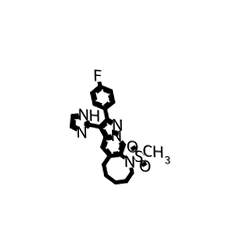 CS(=O)(=O)N1CCCCCc2cc3c(-c4ncc[nH]4)c(-c4ccc(F)cc4)nn3cc21